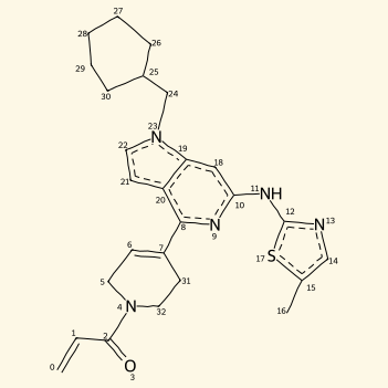 C=CC(=O)N1CC=C(c2nc(Nc3ncc(C)s3)cc3c2ccn3CC2CCCCC2)CC1